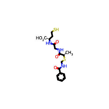 C[C@H](SCNC(=O)c1ccccc1)C(=O)NCC(=O)N[C@@H](CCS)C(=O)O